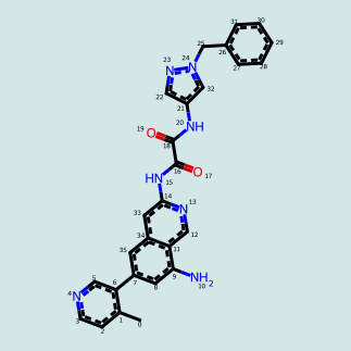 Cc1ccncc1-c1cc(N)c2cnc(NC(=O)C(=O)Nc3cnn(Cc4ccccc4)c3)cc2c1